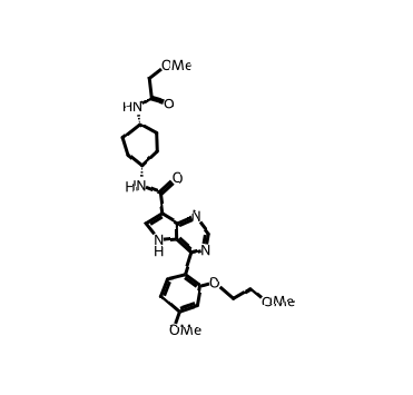 COCCOc1cc(OC)ccc1-c1ncnc2c(C(=O)N[C@H]3CC[C@@H](NC(=O)COC)CC3)c[nH]c12